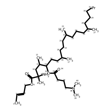 C/C=C/COC(=O)C(C)(N)CC(C)C(CCC(C)CCCC(C)CCCC(C)CCCC(C)C)OC(=O)CCCN(C)C